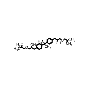 C=C(C)COCC(O)Cc1ccc(C(C)(C)c2ccc(CC(O)COCC(=C)C)cc2)cc1